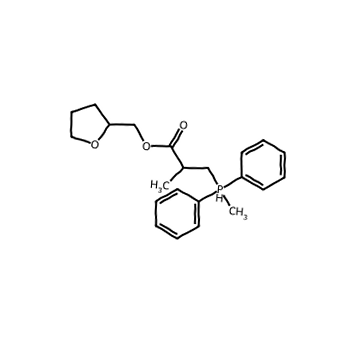 CC(C[PH](C)(c1ccccc1)c1ccccc1)C(=O)OCC1CCCO1